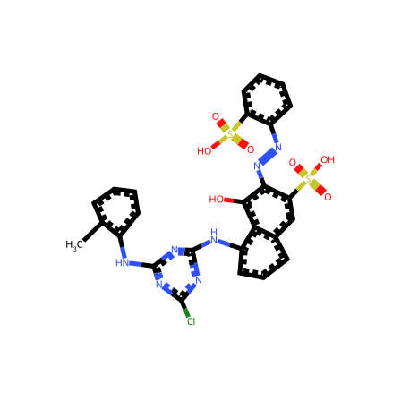 Cc1ccccc1Nc1nc(Cl)nc(Nc2cccc3cc(S(=O)(=O)O)c(N=Nc4ccccc4S(=O)(=O)O)c(O)c23)n1